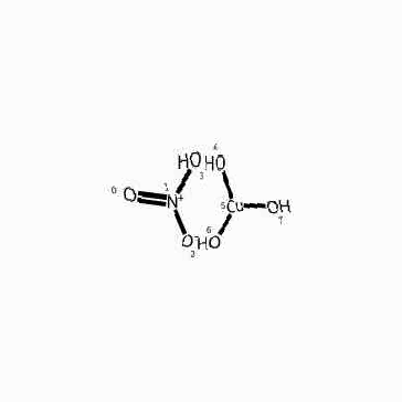 O=[N+]([O-])O.[OH][Cu]([OH])[OH]